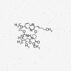 CCC/C=C/c1nc2ccc(OC)cc2nc1O[C@@H]1C[C@@H](C(=O)OC)N(C(=O)[C@@H](NC(=O)OC2CC2)C(C)(C)C)C1